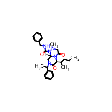 CCCC(C)[C@H]1C(=O)N(C(C)c2ccccc2)C[C@H]2N1C(=O)CN(C)N2C(=O)NCc1ccccc1